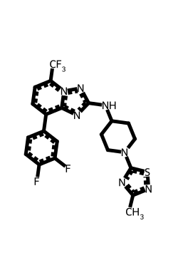 Cc1nsc(N2CCC(Nc3nc4c(-c5ccc(F)c(F)c5)ccc(C(F)(F)F)n4n3)CC2)n1